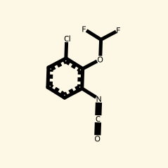 O=C=Nc1cccc(Cl)c1OC(F)F